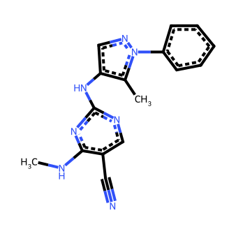 CNc1nc(Nc2cnn(-c3ccccc3)c2C)ncc1C#N